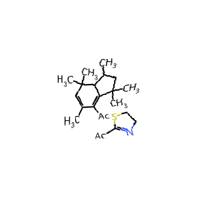 CC(=O)C1=C2C(C(C)CC2(C)C)C(C)(C)C=C1C.CC(=O)C1=NCCS1